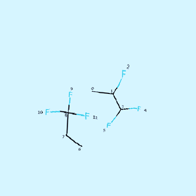 CC(F)C(F)F.CCC(F)(F)F